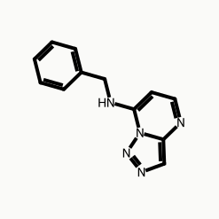 c1ccc(CNc2ccnc3cnnn23)cc1